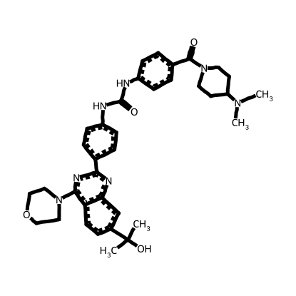 CN(C)C1CCN(C(=O)c2ccc(NC(=O)Nc3ccc(-c4nc(N5CCOCC5)c5ccc(C(C)(C)O)cc5n4)cc3)cc2)CC1